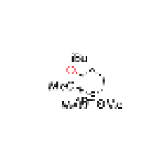 CCCC1(OC)C(OC(C)CC)CCC[Si]1(OC)OC